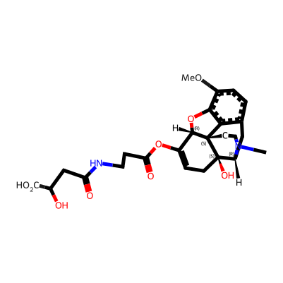 COc1ccc2c3c1O[C@H]1C(OC(=O)CCNC(=O)CC(O)C(=O)O)=CC[C@@]4(O)[C@@H](C2)N(C)CC[C@]314